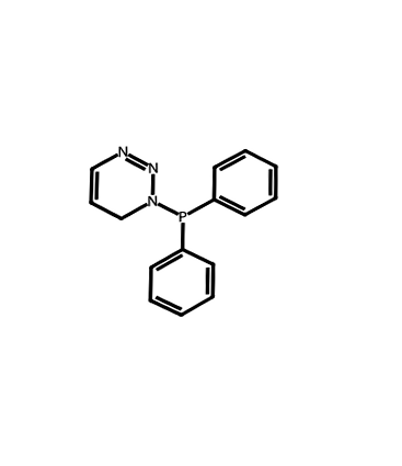 C1=CN=NN(P(c2ccccc2)c2ccccc2)C1